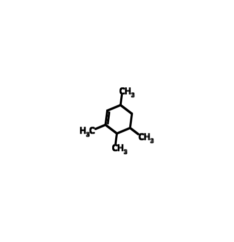 CC1=CC(C)CC(C)C1C